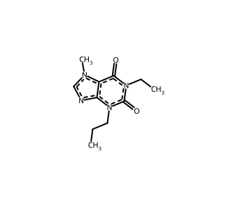 CCCn1c(=O)n(CC)c(=O)c2c1ncn2C